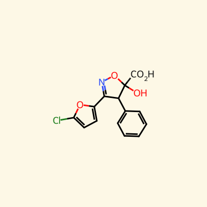 O=C(O)C1(O)ON=C(c2ccc(Cl)o2)C1c1ccccc1